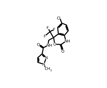 Cn1ccc(C(=O)NCC2(C(F)(F)F)OC(=O)Nc3ccc(Cl)cc32)n1